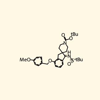 COc1ccc(COc2cccc3c2CC2(CCN(C(=O)OC(C)(C)C)CC2)[C@@H]3N[S@+]([O-])C(C)(C)C)cc1